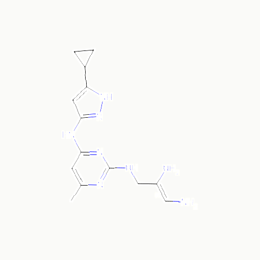 Cc1cc(Nc2cc(C3CC3)[nH]n2)nc(NC/C(N)=C/N)n1